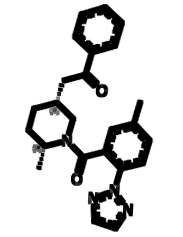 Cc1ccc(-n2nccn2)c(C(=O)N2C[C@@H](CC(=O)c3ccccc3)CC[C@H]2C)c1